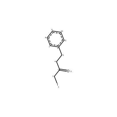 O=C(CI)CCc1ccccc1